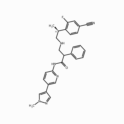 C[C@H](CNCC(C(=O)Nc1ccc(-c2cnn(C)c2)cn1)c1ccccc1)c1ccc(C#N)cc1F